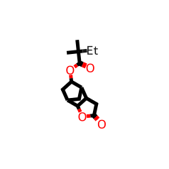 CCC(C)(C)C(=O)OC1CC2CC1C1CC(=O)OC21